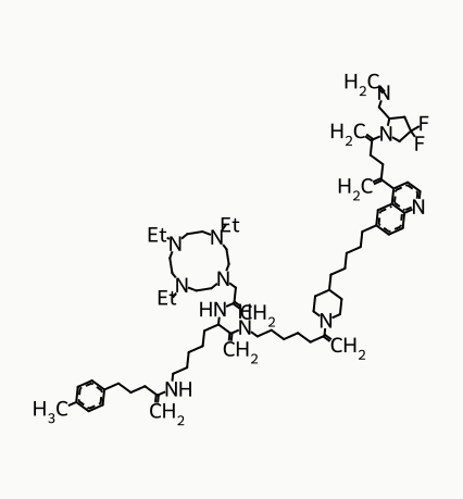 C=NCC1CC(F)(F)CN1C(=C)CCC(=C)c1ccnc2ccc(CCCCCC3CCN(C(=C)CCCCCNC(=C)C(CCCCCNC(=C)CCCc4ccc(C)cc4)NC(=C)CN4CCN(CC)CCN(CC)CCN(CC)CC4)CC3)cc12